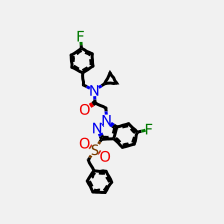 O=C(Cn1nc(S(=O)(=O)Cc2ccccc2)c2ccc(F)cc21)N(Cc1ccc(F)cc1)C1CC1